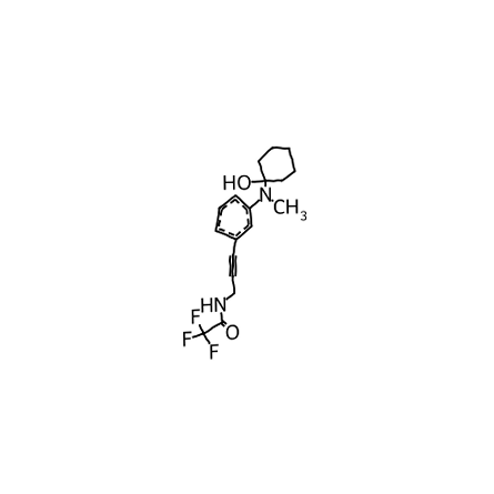 CN(c1cccc(C#CCNC(=O)C(F)(F)F)c1)C1(O)CCCCC1